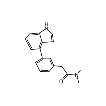 CN(C)C(=O)Cc1cccc(-c2cccc3[nH]ccc23)c1